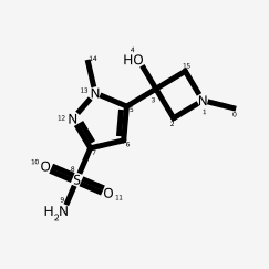 CN1CC(O)(c2cc(S(N)(=O)=O)nn2C)C1